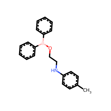 Cc1ccc(NCCOB(c2ccccc2)c2ccccc2)cc1